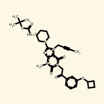 CC#CCn1c(N2CCC[C@@H](NC(=O)OC(C)(C)C)C2)nc2c1c(=O)n(CC(=O)c1cccc(OC3CCC3)c1)c(=O)n2C